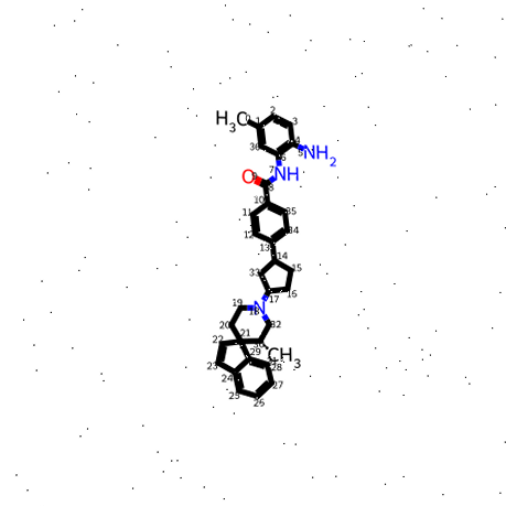 Cc1ccc(N)c(NC(=O)c2ccc(C3CCC(N4CCC5(C=Cc6ccccc65)[C@@H](C)C4)C3)cc2)c1